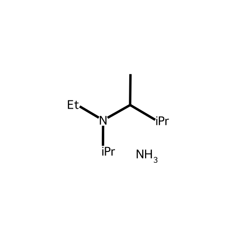 CCN(C(C)C)C(C)C(C)C.N